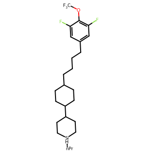 CCC[SiH]1CCC(C2CCC(CCCCc3cc(F)c(OC(F)(F)F)c(F)c3)CC2)CC1